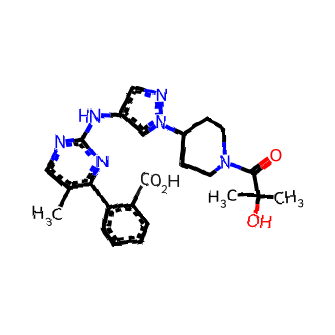 Cc1cnc(Nc2cnn(C3CCN(C(=O)C(C)(C)O)CC3)c2)nc1-c1ccccc1C(=O)O